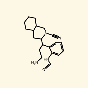 N#CN1CC2CCCCC2CC1C(CCN)c1ccccc1NC=O